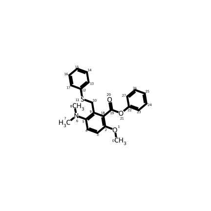 COc1ccc(N(C)C)c(CSc2ccccc2)c1C(=O)Oc1ccccc1